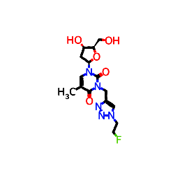 Cc1cn([C@H]2C[C@@H](O)[C@@H](CO)O2)c(=O)n(Cc2cn(CCF)nn2)c1=O